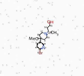 COC1(c2ccc(Br)nc2)CCN([C@@H](C)CCO)CC1